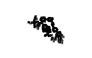 CC(C)(C)OC(=O)N1CCC(COc2cccc(-c3nccc(N(C(=O)OC(C)(C)C)c4ccc5c(cnn5C(=O)O)c4)n3)c2)CC1